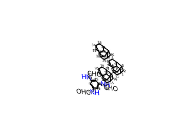 C1C2CC3C4CC5CC(C14)C(C2)C3C5.C1C2CC3C4CC5CC(C14)C(C2)C3C5.C1C2CC3C4CC5CC(C14)C(C2)C3C5.O=CNc1cc(NC=O)cc(NC=O)c1